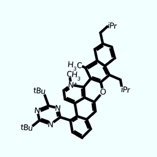 Cc1c2c(c(CC(C)C)c3ccc(CC(C)C)cc13)Oc1cc3cccc(-c4nc(C(C)(C)C)nc(C(C)(C)C)n4)c3c3cc[n+](C)c-2c13